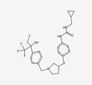 O=C(NCC1CC1)Nc1ccc(OC2CCN(Cc3ccc(C(O)(CF)C(F)(F)F)cc3)C2)cc1